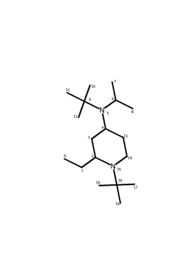 CCC1CC(N(C(C)C)C(C)(C)C)CCN1C(C)(C)C